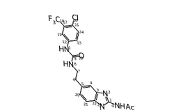 CC(=O)Nc1nc2cc(CCNC(=O)Nc3ccc(Cl)c(C(F)(F)F)c3)ccc2[nH]1